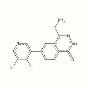 Cc1c(Cl)cncc1-c1ccc2c(=O)[nH]nc(CN)c2c1